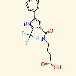 O=C(O)CCCNC(=O)c1cc(-c2ccccc2)[nH]c1C(F)(F)F